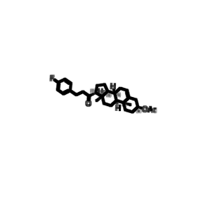 CC(=O)O[C@H]1CC[C@@]2(C)C(=CC[C@H]3[C@@H]4CC[C@H](C(=O)CCc5ccc(F)cc5)[C@@]4(C)CC[C@@H]32)C1